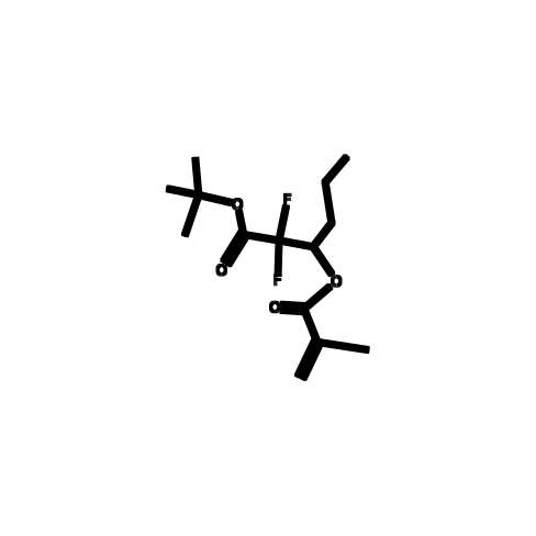 C=C(C)C(=O)OC(CCC)C(F)(F)C(=O)OC(C)(C)C